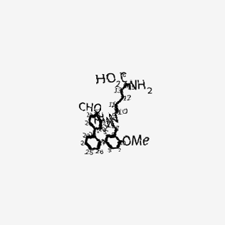 COc1ccccc1CN.NCCCC[C@@H](N)C(=O)O.O=Cc1ccc(-c2ccccc2)cc1